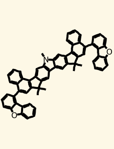 Cn1c2cc3c(cc2c2cc4c(cc21)-c1c(cc(-c2cccc5oc6ccccc6c25)c2ccccc12)C4(C)C)C(C)(C)c1cc(-c2cccc4oc5ccccc5c24)c2ccccc2c1-3